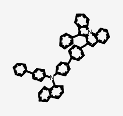 c1ccc(-c2ccc(N(c3ccc(-c4ccc(-c5cc6ccccc6n6c5c(-c5ccccc5)c5ccccc56)cc4)cc3)c3cccc4ccccc34)cc2)cc1